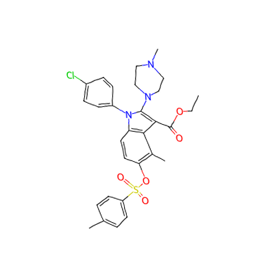 CCOC(=O)c1c(N2CCN(C)CC2)n(-c2ccc(Cl)cc2)c2ccc(OS(=O)(=O)c3ccc(C)cc3)c(C)c12